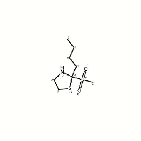 CCCCC1(S(C)(=O)=O)NCCS1